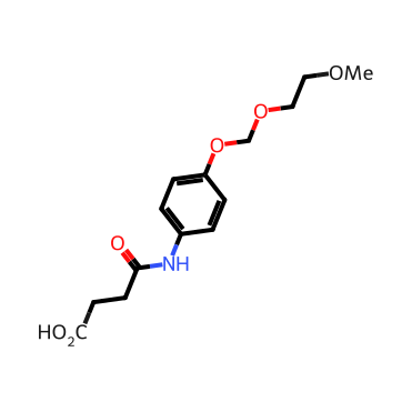 COCCOCOc1ccc(NC(=O)CCC(=O)O)cc1